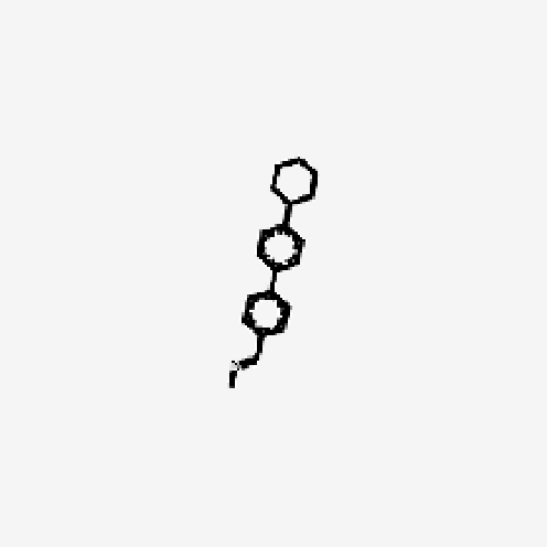 CN=Cc1ccc(-c2ccc(C3CCCCC3)cc2)cc1